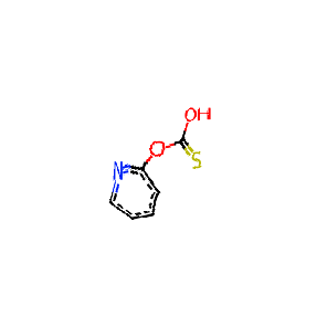 OC(=S)Oc1ccccn1